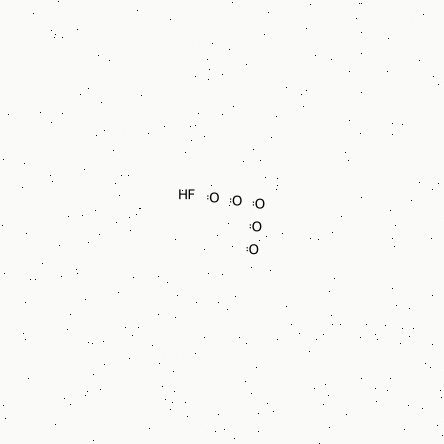 F.[O].[O].[O].[O].[O]